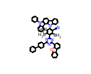 Bc1c(B)c(-n2c3ccccc3c3ccc4c(c5ccccc5n4-c4ccccc4)c32)c(C#N)c(B)c1-c1nc(-c2ccc(-c3ccccc3)cc2)nc(-c2cccc3c2oc2ccccc23)n1